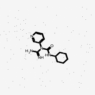 N=C(N)N(C(=O)NC1CCCCC1)c1cccnc1